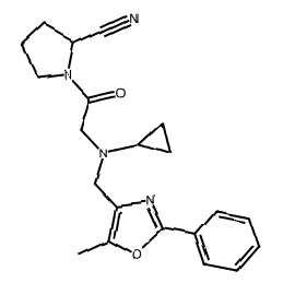 Cc1oc(-c2ccccc2)nc1CN(CC(=O)N1CCCC1C#N)C1CC1